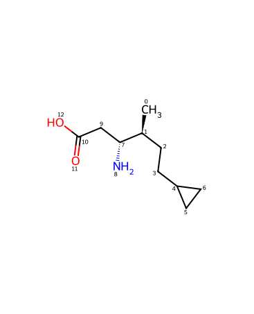 C[C@@H](CCC1CC1)[C@H](N)CC(=O)O